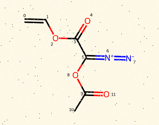 C=COC(=O)C(=[N+]=[N-])OC(C)=O